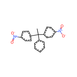 CC(c1ccccc1)(c1ccc([N+](=O)[O-])cc1)c1ccc([N+](=O)[O-])cc1